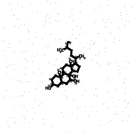 CC(C)C(C)CCC(C)C1CCC2C1(C)CCC1C3(C)CCC(O)CC3CC(O)C12O